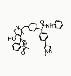 CN(c1ccccc1S(C)(=O)=O)c1nc(CC2CCC(C(C(=O)NCc3ccccc3)c3ccc(-c4cnn(C)c4)cc3)CC2)ncc1O